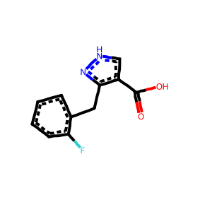 O=C(O)c1c[nH]nc1Cc1ccccc1F